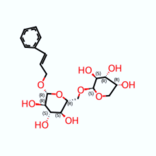 O[C@@H]1[C@@H](O)[C@H](OCC=Cc2ccccc2)O[C@H](CO[C@@H]2OC[C@@H](O)[C@@H](O)[C@@H]2O)[C@H]1O